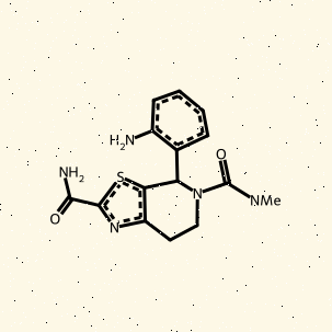 CNC(=O)N1CCc2nc(C(N)=O)sc2C1c1ccccc1N